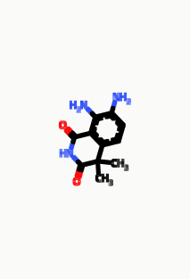 CC1(C)C(=O)NC(=O)c2c1ccc(N)c2N